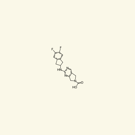 O=C(O)N1Cc2cnc(NC3Cc4cc(F)c(F)cc4C3)nc2C1